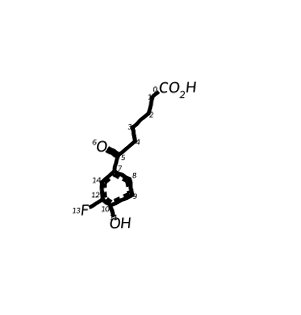 O=C(O)CCCCC(=O)c1ccc(O)c(F)c1